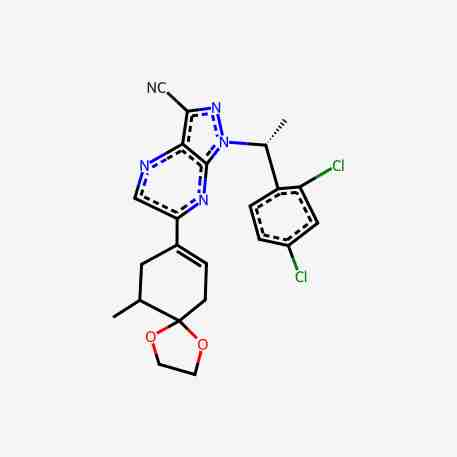 CC1CC(c2cnc3c(C#N)nn([C@H](C)c4ccc(Cl)cc4Cl)c3n2)=CCC12OCCO2